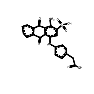 Nc1c(S(=O)(=O)O)cc(Nc2ccc(CC(=O)O)cc2)c2c1C(=O)c1ccccc1C2=O